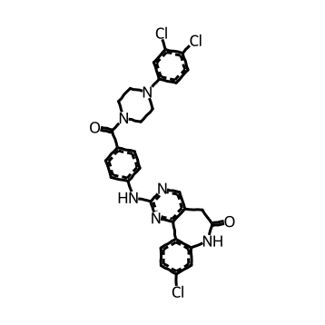 O=C1Cc2cnc(Nc3ccc(C(=O)N4CCN(c5ccc(Cl)c(Cl)c5)CC4)cc3)nc2-c2ccc(Cl)cc2N1